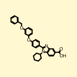 O=C(O)c1ccc2c(c1)nc(-c1ccc(Oc3cccc(OCc4ccccc4)c3)cc1)n2C1CCCCC1